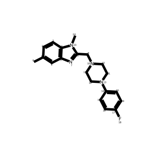 Cc1ccc2c(c1)nc(CN1CCN(c3ccc(F)cc3)CC1)n2C